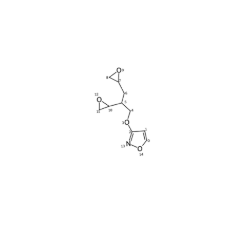 c1cc(OCC(CC2CO2)C2CO2)no1